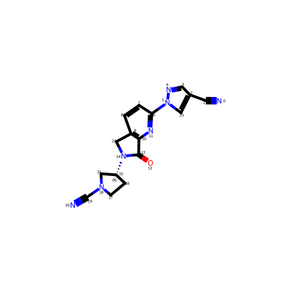 N#Cc1cnn(-c2ccc3c(n2)C(=O)N([C@@H]2CCN(C#N)C2)C3)c1